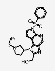 CCCSN1CCC(n2c(CO)nc3cnc4c(ccn4S(=O)(=O)c4ccccc4)c32)C1